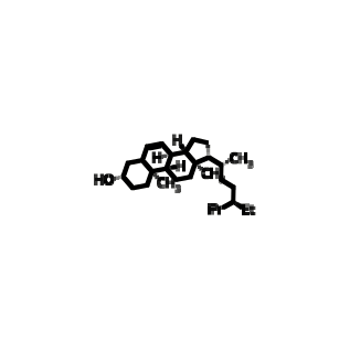 CC[C@H](CC[C@@H](C)[C@H]1CC[C@H]2[C@@H]3C=CC4C[C@@H](O)CC[C@]4(C)[C@H]3CC[C@]12C)C(C)C